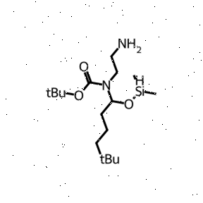 C[SiH](C)OC(CCCC(C)(C)C)N(CCN)C(=O)OC(C)(C)C